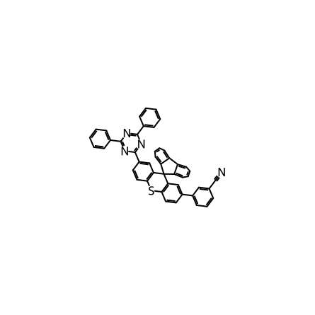 N#Cc1cccc(-c2ccc3c(c2)C2(c4cc(-c5nc(-c6ccccc6)nc(-c6ccccc6)n5)ccc4S3)c3ccccc3-c3ccccc32)c1